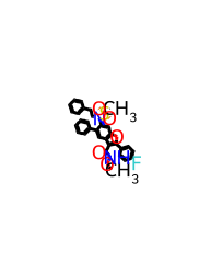 CONC(=O)c1c(-c2ccc(F)cc2)oc2cc(N(CCc3ccccc3)S(C)(=O)=O)c(-c3ccccc3)cc12